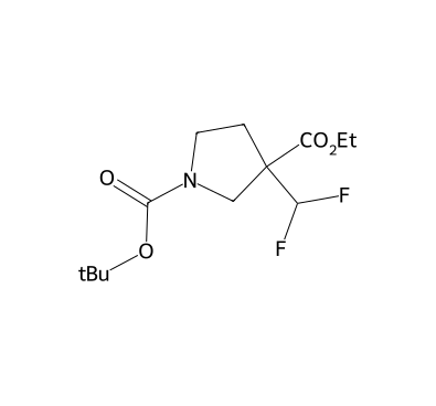 CCOC(=O)C1(C(F)F)CCN(C(=O)OC(C)(C)C)C1